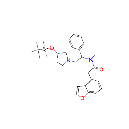 CN(C(=O)Cc1cccc2occc12)C(CN1CCC(O[Si](C)(C)C(C)(C)C)C1)c1ccccc1